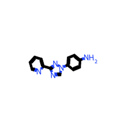 Nc1ccc(-n2cnc(-c3ccccn3)n2)cc1